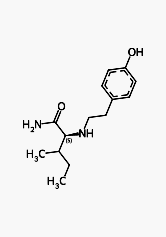 CCC(C)[C@H](NCCc1ccc(O)cc1)C(N)=O